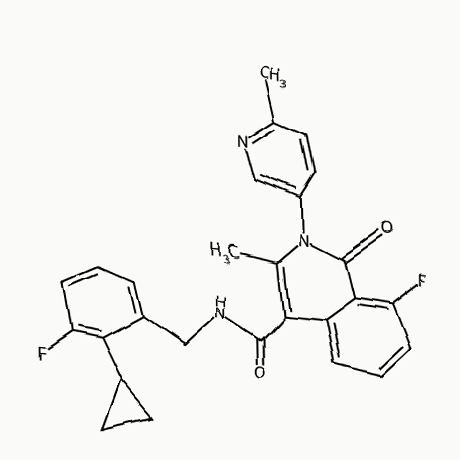 Cc1ccc(-n2c(C)c(C(=O)NCc3cccc(F)c3C3CC3)c3cccc(F)c3c2=O)cn1